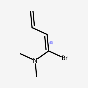 C=C/C=C(/Br)N(C)C